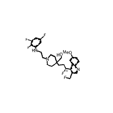 COc1ccc2ncc(CF)c([C@@H](F)CCC3(CO)CCN(CCNc4cc(F)cc(F)c4F)CC3)c2c1